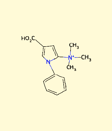 C[N+](C)(C)c1cc(C(=O)O)cn1-c1ccccc1